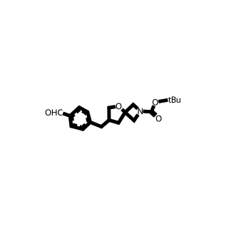 CC(C)(C)OC(=O)N1CC2(CC(Cc3ccc(C=O)cc3)CO2)C1